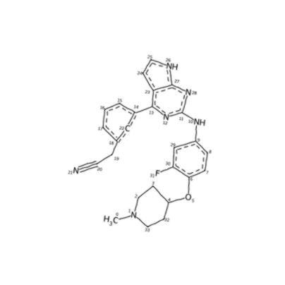 CN1CCC(Oc2ccc(Nc3nc(-c4cccc(CC#N)c4)c4cc[nH]c4n3)cc2F)CC1